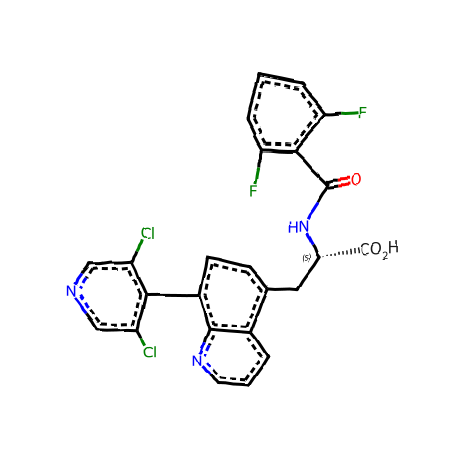 O=C(N[C@@H](Cc1ccc(-c2c(Cl)cncc2Cl)c2ncccc12)C(=O)O)c1c(F)cccc1F